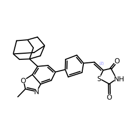 Cc1nc2cc(-c3ccc(/C=C4\SC(=O)NC4=O)cc3)cc(C34CC5CC(CC(C5)C3)C4)c2o1